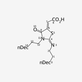 CCCCCCCCCCCCN=C1SC(=CC(=O)O)C(=O)N1CCCCCCCCCCCC